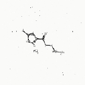 CCCNCCC(=O)c1cc(C)cs1.Cl